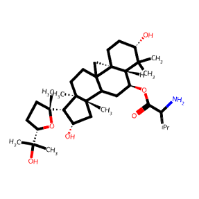 CC(C)C(N)C(=O)O[C@H]1CC2C3(CC[C@]4(C)[C@@H]([C@@]5(C)CC[C@@H](C(C)(C)O)O5)[C@@H](O)C[C@@]24C)C[C@@]32CC[C@H](O)C(C)(C)[C@H]12